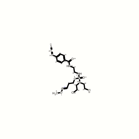 CO/N=C/CCOP(=O)(NCCNC(=O)c1ccc(N=C=S)cc1)N(CCCl)CCCl